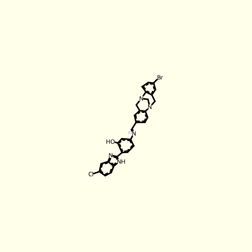 Oc1cc(/N=C/c2ccc3c(c2)CN2CN3Cc3cc(Br)ccc32)ccc1-c1nc2cc(Cl)ccc2[nH]1